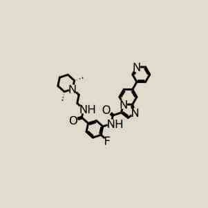 C[C@@H]1CCC[C@H](C)N1CCNC(=O)c1ccc(F)c(NC(=O)c2cnc3cc(-c4cccnc4)ccn23)c1